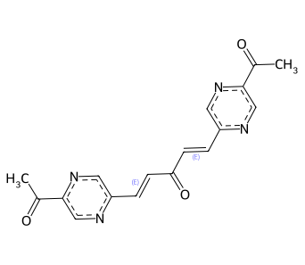 CC(=O)c1cnc(/C=C/C(=O)/C=C/c2cnc(C(C)=O)cn2)cn1